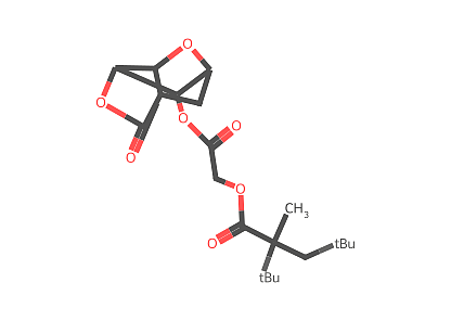 CC(C)(C)CC(C)(C(=O)OCC(=O)OC1C2CC3C(=O)OC1C3O2)C(C)(C)C